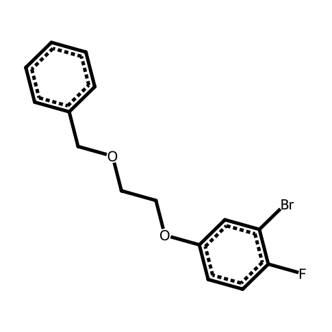 Fc1ccc(OCCOCc2ccccc2)cc1Br